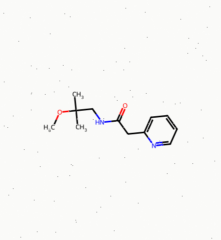 COC(C)(C)CNC(=O)Cc1ccccn1